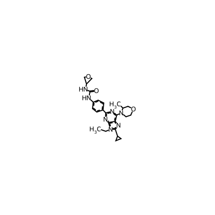 CCn1c(C2CC2)nc2c(N3CCOCC3C)nc(-c3ccc(NC(=O)NC4COC4)cc3)nc21